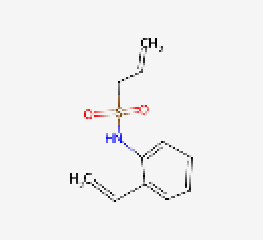 C=CCS(=O)(=O)Nc1ccccc1C=C